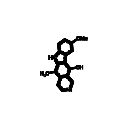 COc1ccc2[nH]c3c(C)c4ccncc4c(O)c3c2c1